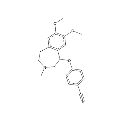 COc1cc2c(cc1OC)C(Oc1ccc(C#N)cc1)CN(C)CC2